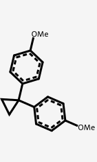 COc1ccc(C2(c3ccc(OC)cc3)CC2)cc1